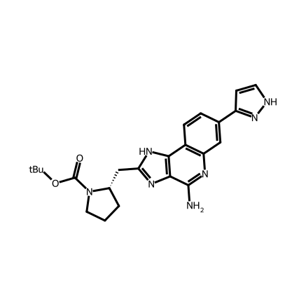 CC(C)(C)OC(=O)N1CCC[C@H]1Cc1nc2c(N)nc3cc(-c4cc[nH]n4)ccc3c2[nH]1